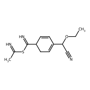 CCOC(C#N)C1=CCC(C(=N)SC(C)=N)C=C1